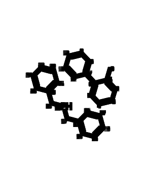 Cc1ccccc1-c1ccccc1.c1ccc(CPCc2ccccc2)cc1